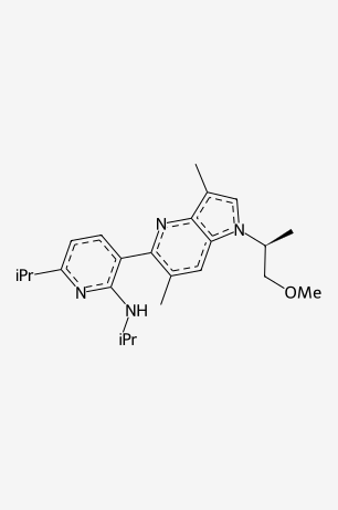 COC[C@H](C)n1cc(C)c2nc(-c3ccc(C(C)C)nc3NC(C)C)c(C)cc21